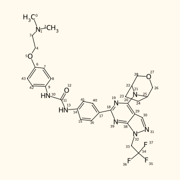 CN(C)CCOc1ccc(NC(=O)Nc2ccc(-c3nc(N4C5CCC4COC5)c4cnn(CC(F)(F)F)c4n3)cc2)cc1